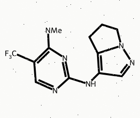 CNc1nc(Nc2cnn3c2CCC3)ncc1C(F)(F)F